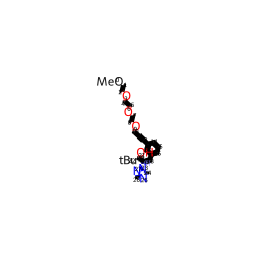 COCCOCCOCCOCC#Cc1cccc(/C=C(\[C@@H](O)C(C)(C)C)n2cncn2)c1